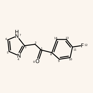 O=C(Cc1ncc[nH]1)c1ccc(F)cc1